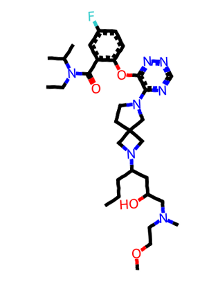 CCCC(CC(O)CN(C)CCOC)N1CC2(CCN(c3ncnnc3Oc3ccc(F)cc3C(=O)N(CC)C(C)C)C2)C1